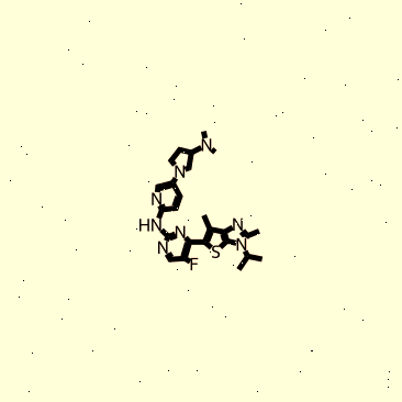 Cc1c(-c2nc(Nc3ccc(N4CCC(N(C)C)C4)cn3)ncc2F)sc2c1nc(C)n2C(C)C